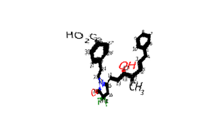 CC(CCCc1ccccc1)C(O)CC[C@H]1CC(F)(F)C(=O)N1CCc1ccc(C(=O)O)cc1